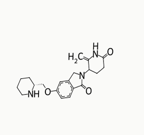 C=C1NC(=O)CCC1N1Cc2cc(OC[C@H]3CCCCN3)ccc2C1=O